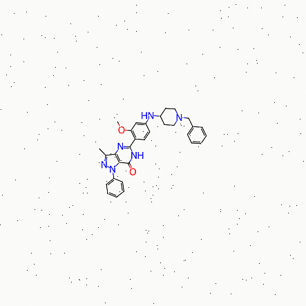 COc1cc(NC2CCN(Cc3ccccc3)CC2)ccc1-c1nc2c(C)nn(-c3ccccc3)c2c(=O)[nH]1